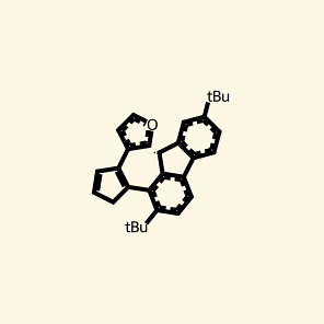 CC(C)(C)c1ccc2c(c1)[CH]c1c-2ccc(C(C)(C)C)c1C1=C(c2ccoc2)C=CC1